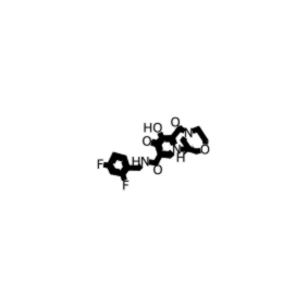 O=C(NCc1ccc(F)cc1F)c1cn2c(c(O)c1=O)C(=O)N1CCOC[C@@H]2C1